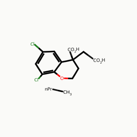 CCCC.O=C(O)CC1(C(=O)O)CCOc2c(Cl)cc(Cl)cc21